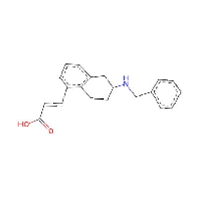 O=C(O)C=Cc1cccc2c1CCC(NCc1ccccc1)C2